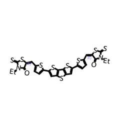 CCN1C(=O)/C(=C\c2ccc(-c3cc4sc5cc(-c6ccc(/C=C7/SC(=S)N(CC)C7=O)s6)sc5c4s3)s2)SC1=S